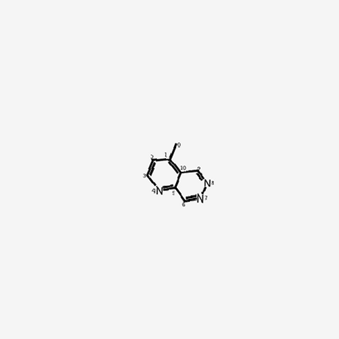 Cc1ccnc2cnncc12